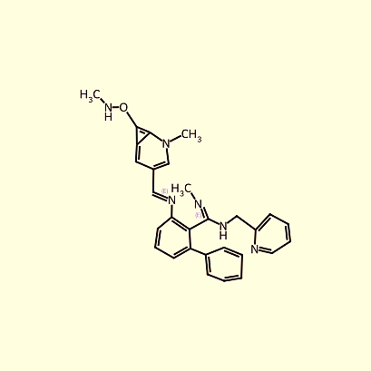 C/N=C(/NCc1ccccn1)c1c(/N=C/C2=CN(C)C3=C(ONC)C3=C2)cccc1-c1ccccc1